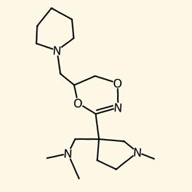 CN(C)CC1(C2=NOCC(CN3CCCCC3)O2)CCN(C)C1